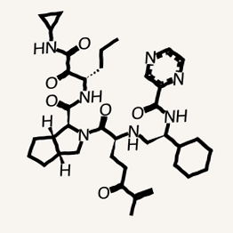 C=C(C)C(=O)CC[C@H](NC[C@@H](NC(=O)c1cnccn1)C1CCCCC1)C(=O)N1C[C@@H]2CCC[C@@H]2[C@H]1C(=O)N[C@@H](CCC)C(=O)C(=O)NC1CC1